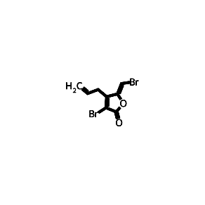 C=CCC1=C(Br)C(=O)O/C1=C\Br